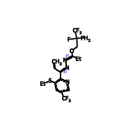 C=C/C(=N\N=C(/CC)OCC(F)(P)C(F)(F)F)c1ncc(C(F)(F)F)cc1SCC